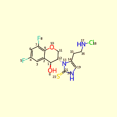 O[C@H]1c2cc(F)cc(F)c2OC[C@@H]1n1c(CCNCl)c[nH]c1=S